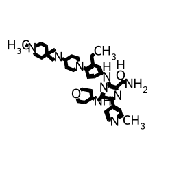 CCc1cc(Nc2nc(NC3CCOCC3)c(-c3ccnc(C)c3)nc2C(N)O)ccc1N1CCC(N2CC3(CCN(C)CC3)C2)CC1